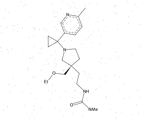 CCOC[C@]1(CCNC(=O)NC)CCN(C2(c3ccc(C)nc3)CC2)C1